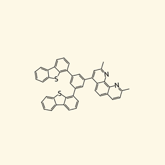 Cc1ccc2ccc3c(-c4cc(-c5cccc6c5sc5ccccc56)cc(-c5cccc6c5sc5ccccc56)c4)cc(C)nc3c2n1